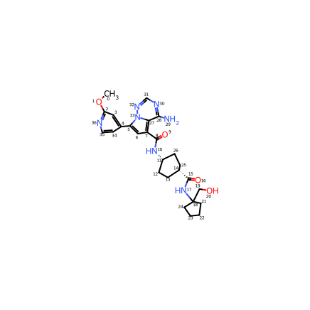 COc1cc(-c2cc(C(=O)N[C@H]3CC[C@@H](C(=O)NC4(CO)CCCC4)CC3)c3c(N)ncnn23)ccn1